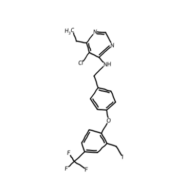 CCc1ncnc(NCc2ccc(Oc3ccc(C(F)(F)F)cc3CI)cc2)c1Cl